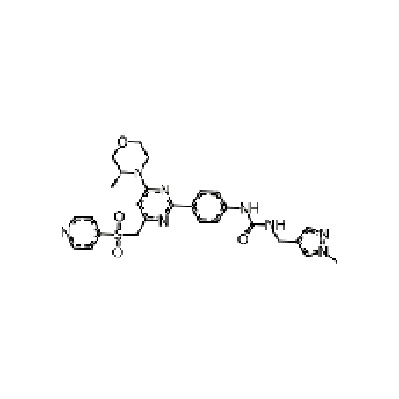 C[C@H]1COCCN1c1cc(CS(=O)(=O)c2ccncc2)nc(-c2ccc(NC(=O)NCc3cnn(C)c3)cc2)n1